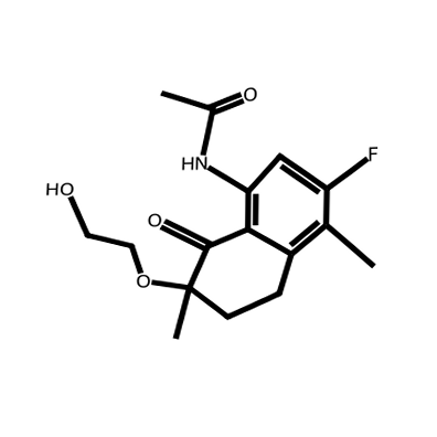 CC(=O)Nc1cc(F)c(C)c2c1C(=O)C(C)(OCCO)CC2